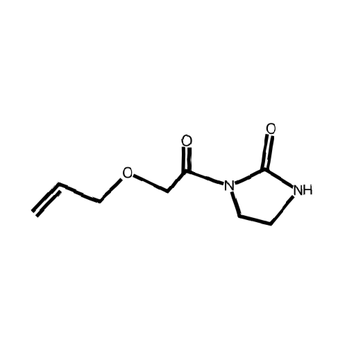 C=CCOCC(=O)N1CCNC1=O